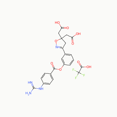 N=C(N)Nc1ccc(C(=O)Oc2cccc(C3=NOC(CC(=O)O)(CC(=O)O)C3)c2)cc1.O=C(O)C(F)(F)F